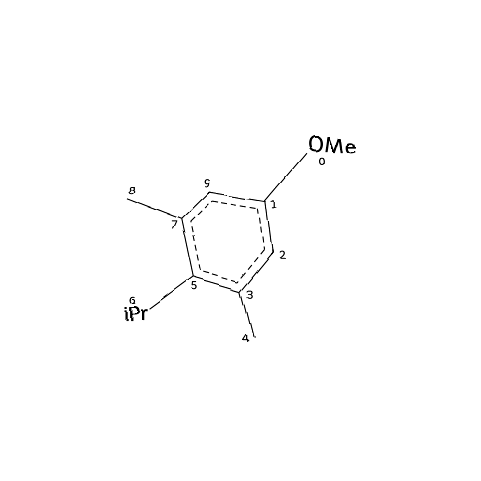 COc1cc(C)c(C(C)C)c(C)c1